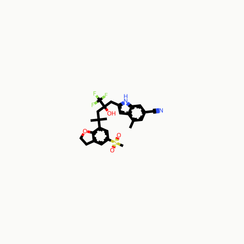 Cc1cc(C#N)cc2[nH]c(CC(O)(CC(C)(C)c3cc(S(C)(=O)=O)cc4c3OCC4)C(F)(F)F)cc12